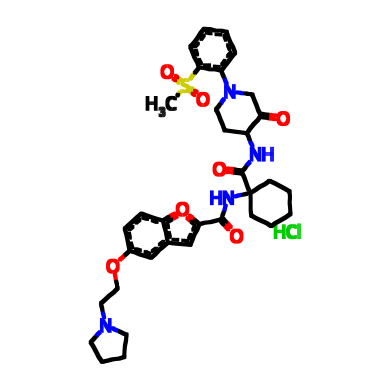 CS(=O)(=O)c1ccccc1N1CCC(NC(=O)C2(NC(=O)c3cc4cc(OCCN5CCCC5)ccc4o3)CCCCC2)C(=O)C1.Cl